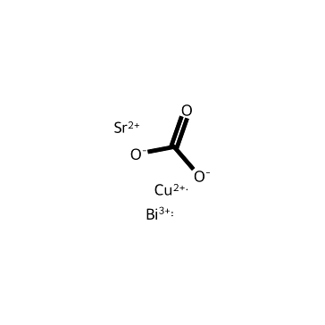 O=C([O-])[O-].[Bi+3].[Cu+2].[Sr+2]